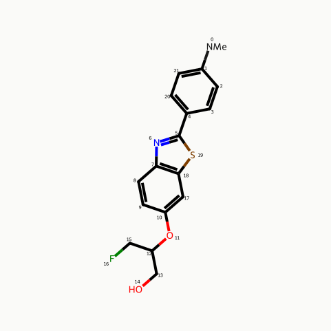 CNc1ccc(-c2nc3ccc(OC(CO)CF)cc3s2)cc1